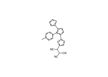 Cc1ccc(-n2c(-c3cccs3)ccc2-c2ccc(C(C#N)C(C#N)C#N)s2)cc1